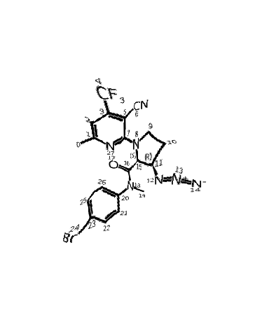 Cc1cc(C(F)(F)F)c(C#N)c(N2CC[C@@H](N=[N+]=[N-])[C@H]2C(=O)N(C)c2ccc(Br)cc2)n1